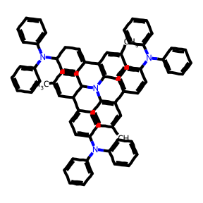 CC1=CC(c2ccc(N(c3ccccc3)c3ccccc3)cc2)C(N(c2ccc(C)cc2C2=CCC(N(c3ccccc3)c3ccccc3)C=C2)c2ccc(C)cc2-c2ccc(N(c3ccccc3)c3ccccc3)cc2)C=C1